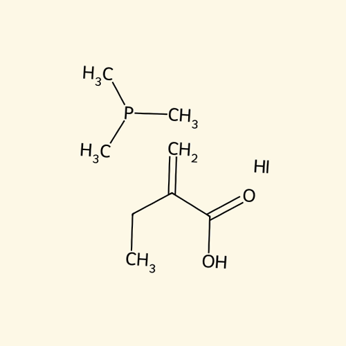 C=C(CC)C(=O)O.CP(C)C.I